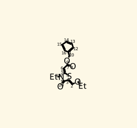 CCO/C=c1\s/c(=C\C(=O)OCc2ccccc2)n(CC)c1=O